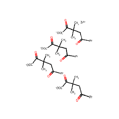 CC(C)C(=O)CC(C)(C)C(=O)C(=O)[O-].CC(C)C(=O)CC(C)(C)C(=O)C(=O)[O-].CC(C)C(=O)CC(C)(C)C(=O)C(=O)[O-].CC(C)C(=O)CC(C)(C)C(=O)C(=O)[O-].[Zr+4]